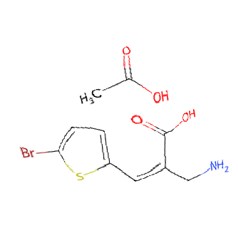 CC(=O)O.NC/C(=C/c1ccc(Br)s1)C(=O)O